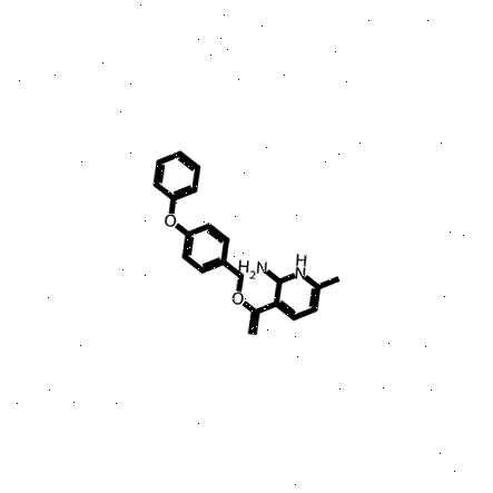 C=C(OCc1ccc(Oc2ccccc2)cc1)C1=CC=C(C)NC1N